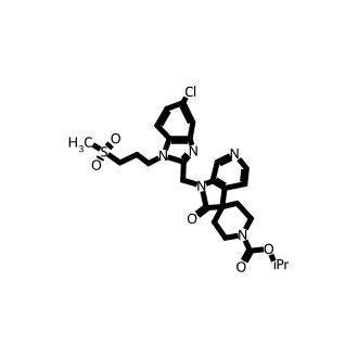 CC(C)OC(=O)N1CCC2(CC1)C(=O)N(Cc1nc3cc(Cl)ccc3n1CCCS(C)(=O)=O)c1cnccc12